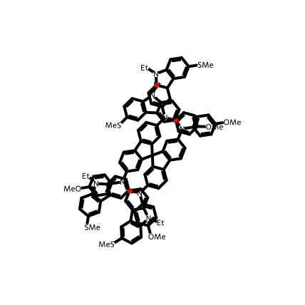 CCN1C2=CC=C(N(c3ccc(OC)cc3)c3ccc4c(c3)C3(c5cc(N(c6ccc(OC)cc6)c6ccc7c(c6)c6cc(SC)ccc6n7CC)ccc5-4)c4cc(N(c5ccc(OC)cc5)c5ccc6c(c5)c5cc(SC)ccc5n6CC)ccc4-c4ccc(N(c5ccc(OC)cc5)c5ccc6c(c5)c5cc(SC)ccc5n6CC)cc43)CC2c2cc(SC)ccc21